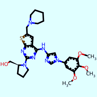 COc1cc(-n2cnc(Nc3nc(N4CCC[C@H]4CO)nc4sc(CN5CCCCC5)cc34)c2)cc(OC)c1OC